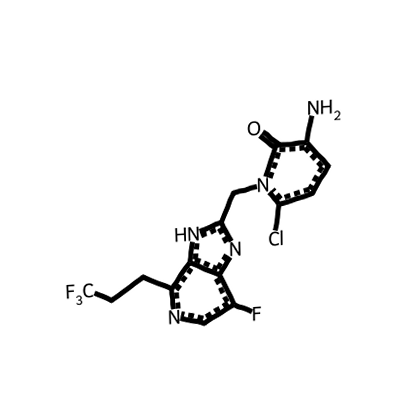 Nc1ccc(Cl)n(Cc2nc3c(F)cnc(CCC(F)(F)F)c3[nH]2)c1=O